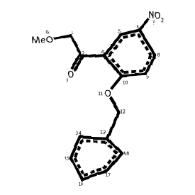 COCC(=O)c1cc([N+](=O)[O-])ccc1OCc1ccccc1